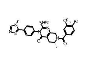 CSc1nc2c(c(=O)n1-c1ccc(-c3nncn3C)cc1)C[C@@H](C)N(C(=O)c1ccc(Br)c(C(F)(F)F)c1)C2